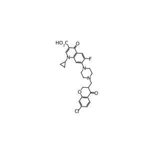 O=C(O)c1cn(C2CC2)c2cc(N3CCN(CC4COc5cc(Cl)ccc5C4=O)CC3)c(F)cc2c1=O